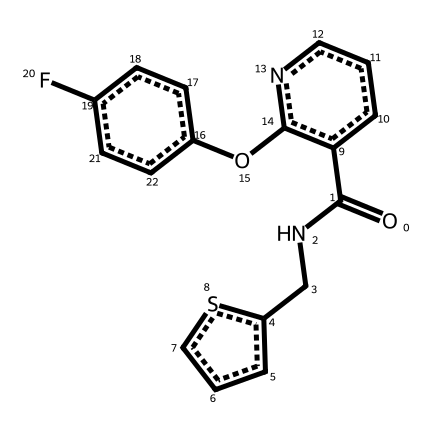 O=C(NCc1cccs1)c1cccnc1Oc1ccc(F)cc1